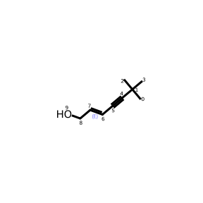 CC(C)(C)C#C/C=C/CO